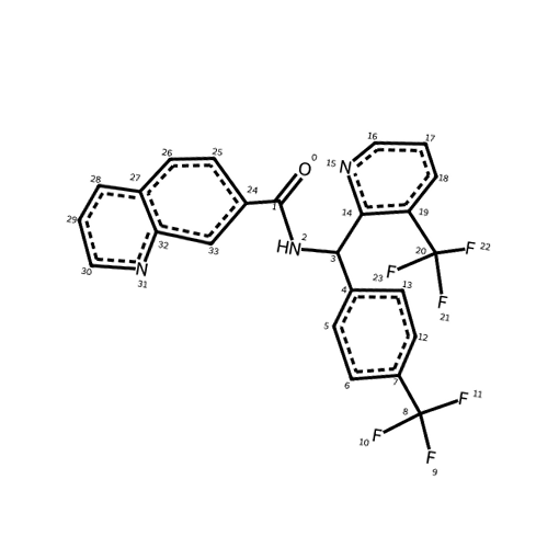 O=C(NC(c1ccc(C(F)(F)F)cc1)c1ncccc1C(F)(F)F)c1ccc2cccnc2c1